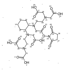 O=C(O)CN(CCN(CC(=O)O)C1CCCCC1N(CCN(CC(=O)O)CC(=O)O)CC(=O)ON1C(=O)CCC1=O)CC(=O)O